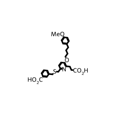 COc1ccc(CCCCOc2ccc(CSCc3cccc(C(=O)O)c3)nc2CCC(=O)O)cc1